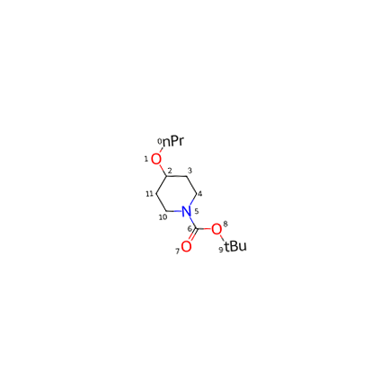 CCCOC1CCN(C(=O)OC(C)(C)C)CC1